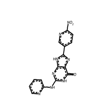 O=c1[nH]c(Nc2ccccn2)nc2[nH]c(-c3ccc([N+](=O)[O-])nc3)nc12